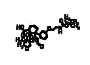 CC(C)(C)OC(=O)NCCOc1cccc(C2(C=CC=O)C=CC=C(C(=O)O)C2(OCC=O)OC(C)(C)C)c1